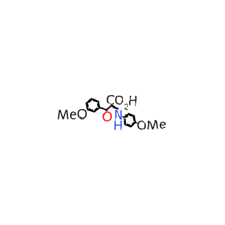 COc1ccc(N/C=C(/C(=O)O)C(=O)c2cccc(OC)c2)cc1